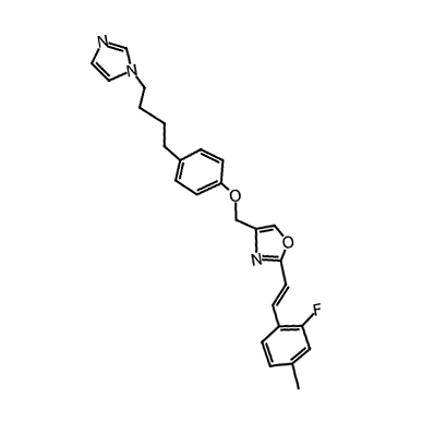 Cc1ccc(/C=C/c2nc(COc3ccc(CCCCn4ccnc4)cc3)co2)c(F)c1